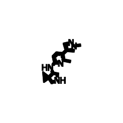 Cc1nc(NC2CNCC23CC3)ccc1-c1cnn(C)c1